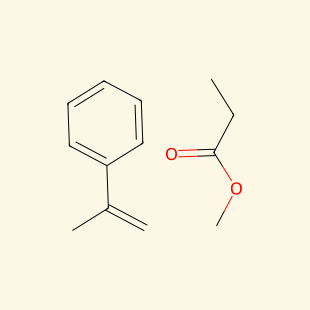 C=C(C)c1ccccc1.CCC(=O)OC